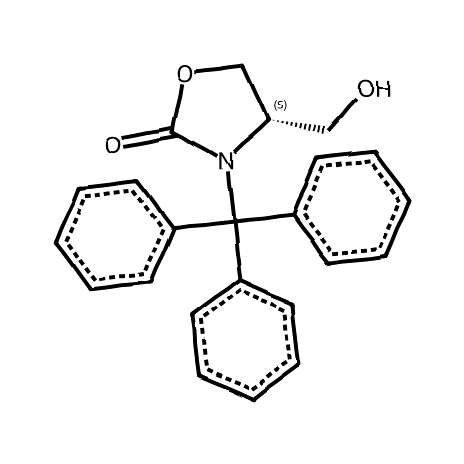 O=C1OC[C@H](CO)N1C(c1ccccc1)(c1ccccc1)c1ccccc1